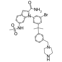 CC(C)(c1cccc(CN2CCNCC2)c1)c1cc(Br)cc(-n2c(C(N)=O)cc3ccc(NS(C)(=O)=O)cc32)c1